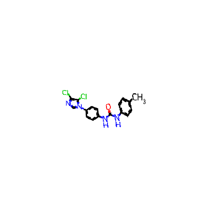 Cc1ccc(NC(=O)Nc2ccc(-n3cnc(Cl)c3Cl)cc2)cc1